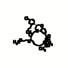 CCCc1cc(Cl)ccc1[C@@H]1COc2ccc3cc2N(CC2CCC2C(OCCOC)/C=C/C[C@@H](C)CS(C)(N=O)NC3=O)C1